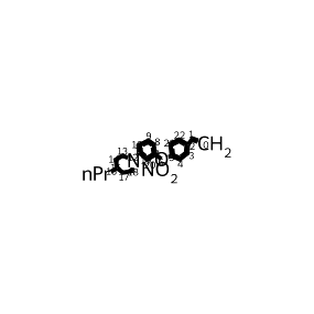 C=Cc1ccc(Oc2cccc(N3CCC(CCC)CC3)c2[N+](=O)[O-])cc1